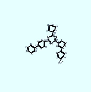 Brc1ccc(-c2cccc(-c3nc(-c4ccccc4)nc(-c4ccc(-c5ccccc5)cc4)n3)c2)cc1